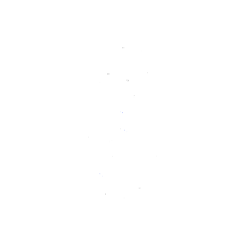 O=C(NNC(=O)c1ncccc1C(F)(F)F)c1ccccc1O